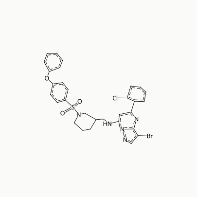 O=S(=O)(c1ccc(Oc2ccccc2)cc1)N1CCCC(CNc2cc(-c3ccccc3Cl)nc3c(Br)cnn23)C1